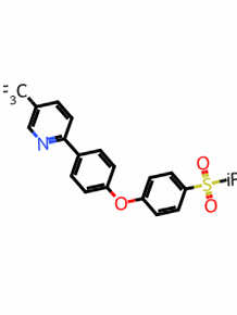 CC(C)S(=O)(=O)c1ccc(Oc2ccc(-c3ccc(C(F)(F)F)cn3)cc2)cc1